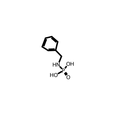 O=P(O)(O)NCc1ccccc1